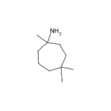 CC1(N)CCCC(C)(I)CC1